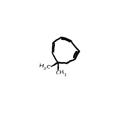 CC1(C)C=CC=CC=CC1